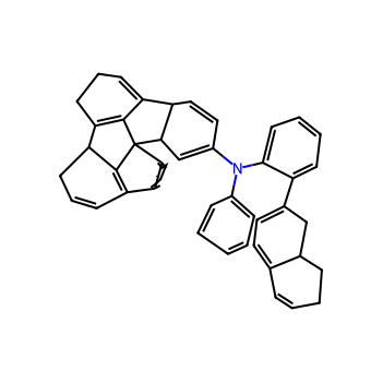 C1=CC2=CC=C(c3ccccc3N(C3=CC4C(C=C3)C3=CCCC5=C3C43C4=C(C=CCC54)c4ccccc43)c3ccccc3)CC2CC1